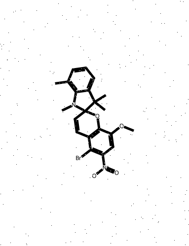 COc1cc([N+](=O)[O-])c(Br)c2c1OC1(C=C2)N(C)c2c(C)cccc2C1(C)C